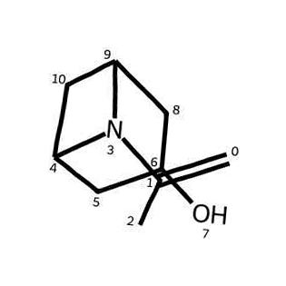 C=C(C)N1C2CC(O)CC1C2